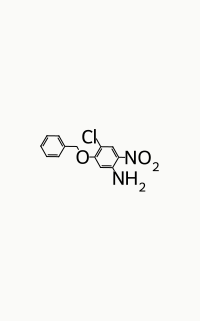 Nc1cc(OCc2ccccc2)c(Cl)cc1[N+](=O)[O-]